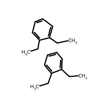 CCc1ccccc1CC.CCc1ccccc1CC